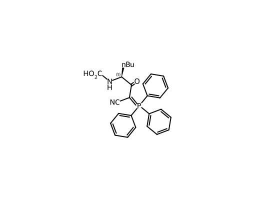 CCCC[C@H](NC(=O)O)C(=O)C(C#N)=P(c1ccccc1)(c1ccccc1)c1ccccc1